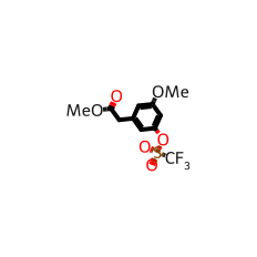 COC(=O)Cc1cc(OC)cc(OS(=O)(=O)C(F)(F)F)c1